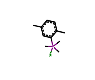 Cc1ccc(C)c(P(C)(C)(C)Br)c1